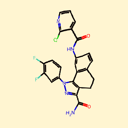 NC(=O)c1nn(-c2ccc(F)c(F)c2)c2c1CCc1ccc(NC(=O)c3cccnc3Cl)cc1-2